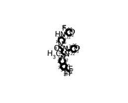 Cc1c(C(=O)N2CCC(NC3CCOCC3F)CC2)nc(C2CCOCC2)nc1N1CCc2ccc(C(F)(F)F)cc2C1